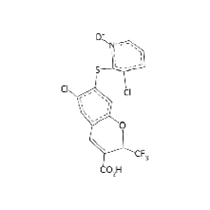 O=C(O)C1=Cc2cc(Cl)c(Sc3c(Cl)ccc[n+]3[O-])cc2OC1C(F)(F)F